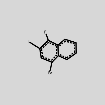 Fc1c(I)cc(Br)c2ccccc12